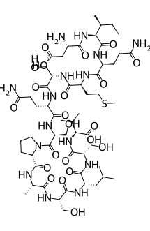 CC[C@H](C)[C@H](NC(=O)[C@@H](N)CC(=O)O)C(=O)N[C@@H](CCC(N)=O)C(=O)N[C@@H](CCSC)C(=O)N[C@H](C(=O)N[C@@H](CCC(N)=O)C(=O)N[C@@H](CO)C(=O)N1CCC[C@H]1C(=O)N[C@@H](C)C(=O)N[C@@H](CO)C(=O)N[C@@H](CC(C)C)C(=O)N[C@@H](CO)C(=O)N[C@H](C(=O)O)C(C)C)[C@@H](C)O